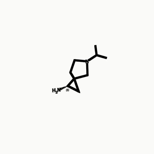 CC(C)N1CCC2(C[C@@H]2N)C1